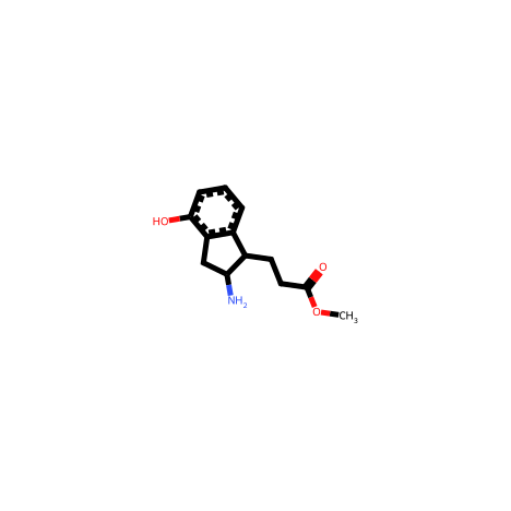 COC(=O)CCC1c2cccc(O)c2CC1N